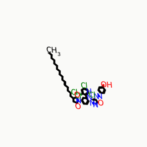 CCCCCCCCCCCCC=CCCC(Cl)CC1CC(=O)N(C2=CC=CC(NC3=C(N=Nc4ccc(O)cc4)C(=O)N=N3)(c3c(Cl)cc(Cl)cc3Cl)C2)C1=O